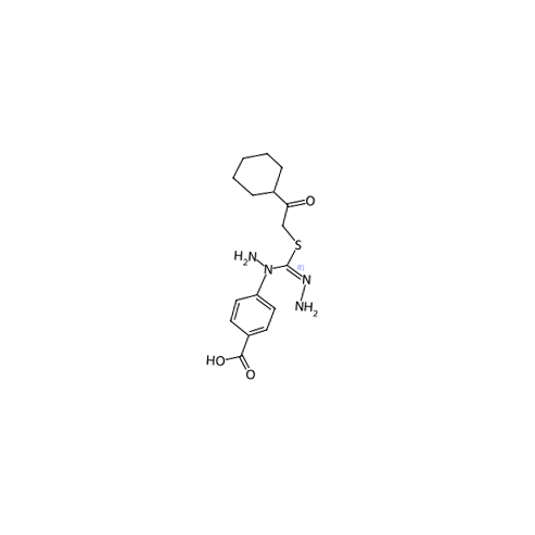 N/N=C(/SCC(=O)C1CCCCC1)N(N)c1ccc(C(=O)O)cc1